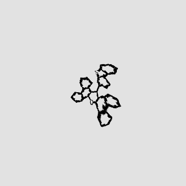 c1ccc2c(c1)sc1cc(C3c4c(c5ccccc5c5ccccc45)Oc4c3c3ccccc3c3ccccc43)ccc12